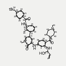 C=CC(O)Nc1cc(Nc2cc(-c3cccc(NC(=O)c4ccc(C(C)(C)C)cc4)c3C)cn(C)c2=O)ccc1C(=O)N1CCN(C)CC1